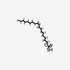 CCCCCCCC/C=C\CCCCCCCCOC(=S)S